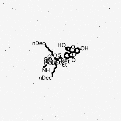 CCCCCCCCCCCCCCCC(=O)OC(C(=S)N(c1ccc2c(c1)C(=O)OC21c2ccc(O)cc2Oc2cc(O)ccc21)[N+](CC)(CC)CC)[C@H](COP(=O)(O)OCCN)OC(=O)CCCCCCCCCCCCCCC